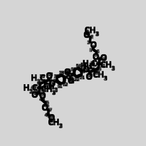 COCCOCCOC(=O)C(C)(C)CC(C)(C)C(=O)Oc1ccc(S(=O)(=O)c2ccc(OC(=O)C(C)(C)CC(C)(C)C(=O)OCCOCCOC)cc2)cc1